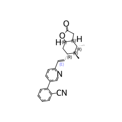 C[C@@H]1[C@@H](C)[C@H](/C=C/c2ccc(-c3ccccc3C#N)cn2)C[C@H]2OC(=O)C[C@@H]12